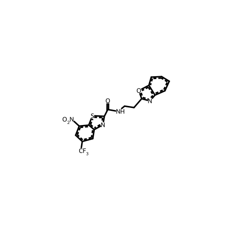 O=C(NCCc1nc2ccccc2o1)c1nc2cc(C(F)(F)F)cc([N+](=O)[O-])c2s1